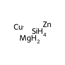 [Cu].[MgH2].[SiH4].[Zn]